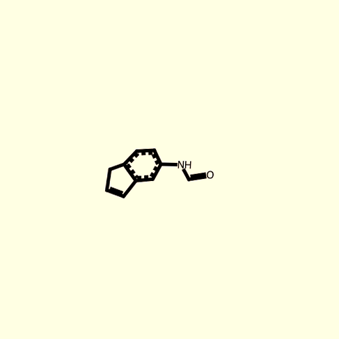 O=CNc1ccc2c(c1)C=CC2